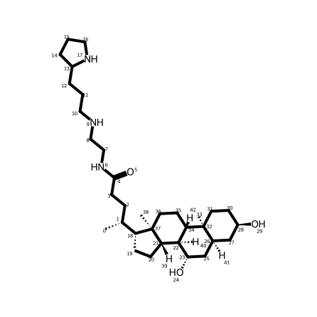 C[C@H](CCC(=O)NCCNCCCC1CCCN1)[C@H]1CC[C@H]2[C@@H]3[C@@H](O)C[C@@H]4C[C@H](O)CC[C@]4(C)[C@H]3CC[C@]12C